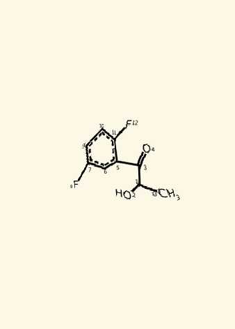 CC(O)C(=O)c1cc(F)ccc1F